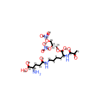 CC(=O)C(=O)N[C@@H](CCCCNC(=O)CC[C@H](N)C(=O)O)C(=O)OC[C@@H](CO[N+](=O)[O-])O[N+](=O)[O-]